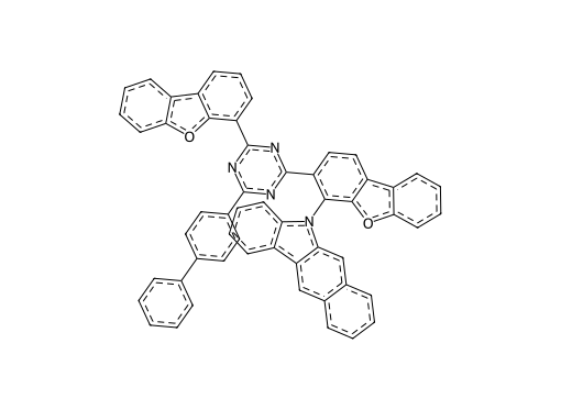 c1ccc(-c2ccc(-c3nc(-c4ccc5c(oc6ccccc65)c4-n4c5ccccc5c5cc6ccccc6cc54)nc(-c4cccc5c4oc4ccccc45)n3)cc2)cc1